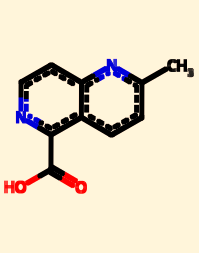 Cc1ccc2c(C(=O)O)nccc2n1